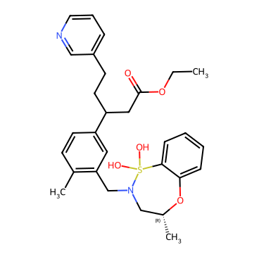 CCOC(=O)CC(CCc1cccnc1)c1ccc(C)c(CN2C[C@@H](C)Oc3ccccc3S2(O)O)c1